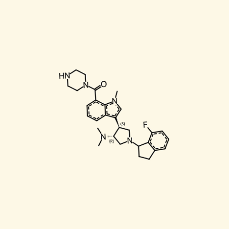 CN(C)[C@H]1CN(C2CCc3cccc(F)c32)C[C@@H]1c1cn(C)c2c(C(=O)N3CCNCC3)cccc12